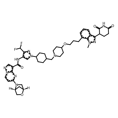 Cn1nc(C2CCC(=O)NC2=O)c2cccc(CCCOC3CCN(CC4CCC(n5cc(NC(=O)c6cnn7ccc(N8C[C@H]9C[C@@H]8CO9)nc67)c(C(F)F)n5)CC4)CC3)c21